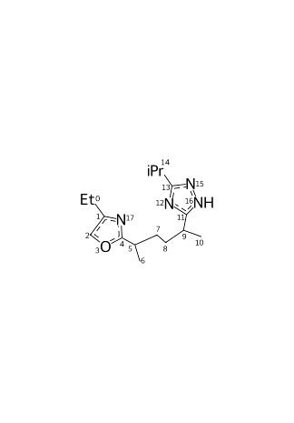 CCc1coc(C(C)CCC(C)c2nc(C(C)C)n[nH]2)n1